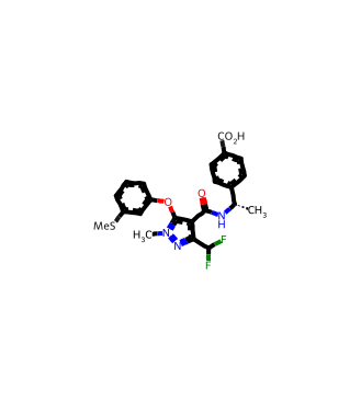 CSc1cccc(Oc2c(C(=O)N[C@@H](C)c3ccc(C(=O)O)cc3)c(C(F)F)nn2C)c1